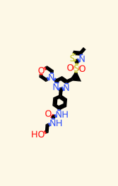 Cc1csc(S(=O)(=O)C2CC2c2cc(N3CCOCC3)nc(-c3ccc(NC(=O)NCCO)cc3)n2)n1